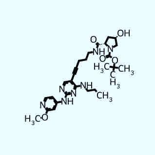 CCCNc1nc(Nc2ccnc(OC)c2)ncc1C#CCCCNC(=O)[C@@H]1C[C@H](O)CN1C(=O)OC(C)(C)C